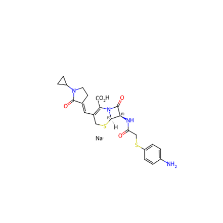 Nc1ccc(SCC(=O)N[C@@H]2C(=O)N3C(C(=O)O)=C(C=C4CCN(C5CC5)C4=O)CS[C@H]23)cc1.[Na]